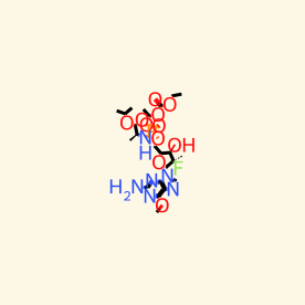 CCOC(=O)OC(C)OP(=O)(N[C@@H](C)C(=O)OC(C)C)OCC1O[C@@H](n2cnc3c(OC)nc(N)nc32)[C@](C)(F)[C@@H]1O